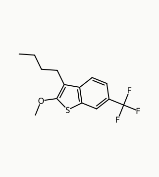 CCCCc1c(OC)sc2cc(C(F)(F)F)ccc12